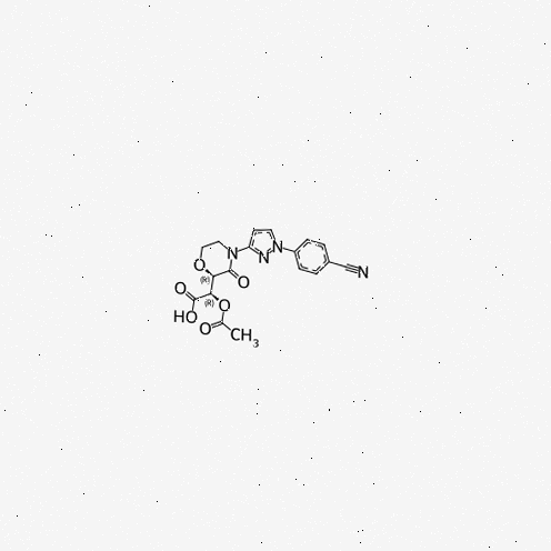 CC(=O)O[C@@H](C(=O)O)[C@H]1OCCN(c2ccn(-c3ccc(C#N)cc3)n2)C1=O